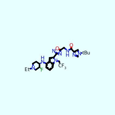 CCN1CC[C@@H](Nc2cccc3c2cc(-c2noc(CNC(=O)c4cn(C(C)(C)C)cn4)n2)n3CC(F)(F)F)[C@@H](F)C1